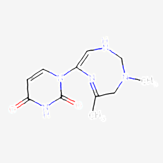 C/C1=N\C(n2ccc(=O)[nH]c2=O)=C/NCN(C)C1